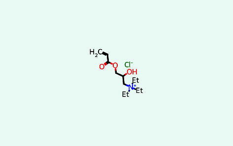 C=CC(=O)OCC(O)C[N+](CC)(CC)CC.[Cl-]